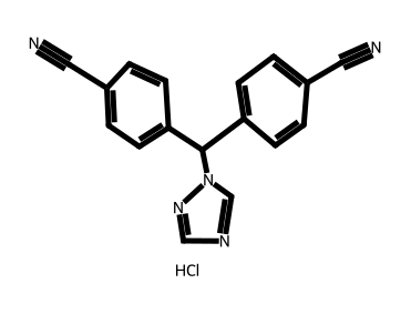 Cl.N#Cc1ccc(C(c2ccc(C#N)cc2)n2cncn2)cc1